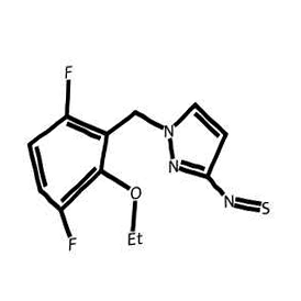 CCOc1c(F)ccc(F)c1Cn1ccc(N=S)n1